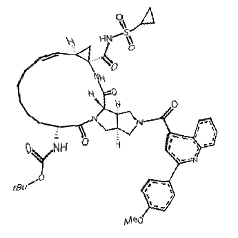 COc1ccc(-c2cc(C(=O)N3C[C@H]4CN5C(=O)[C@H](NC(=O)OC(C)(C)C)CCCCC/C=C\[C@H]6C[C@@]6(C(=O)NS(=O)(=O)C6CC6)NC(=O)[C@@H]5[C@H]4C3)c3ccccc3n2)cc1